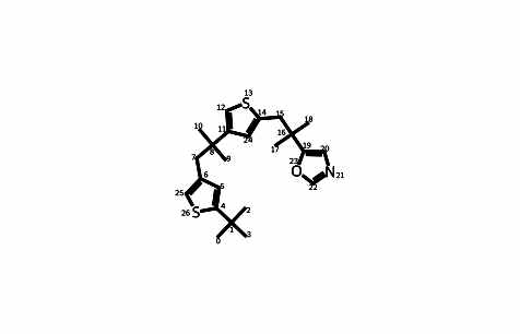 CC(C)(C)c1cc(CC(C)(C)c2csc(CC(C)(C)c3cnco3)c2)cs1